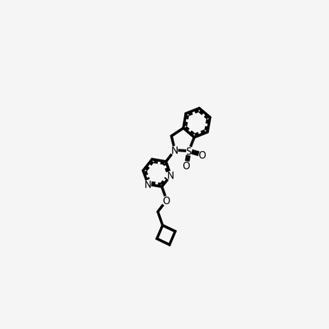 O=S1(=O)c2ccccc2CN1c1ccnc(OCC2CCC2)n1